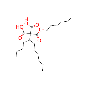 CCCCCCOC(=O)C(C(=O)O)(C(=O)O)C(CCCC)CCCCCC